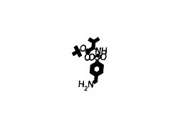 CC(C)[C@H](NS(=O)(=O)c1ccc(CN)cc1)C(=O)OC(C)(C)C